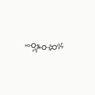 Oc1ccc(N=Nc2ccc(-c3nc4ccc(OC(F)(F)F)cc4s3)cc2)c(C(F)(F)F)c1